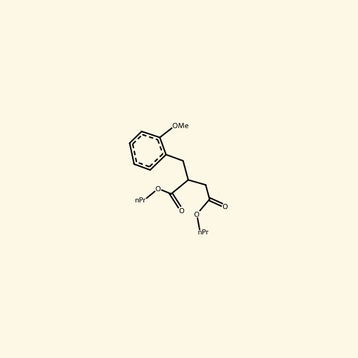 CCCOC(=O)CC(Cc1ccccc1OC)C(=O)OCCC